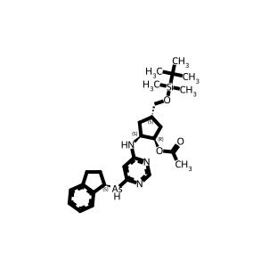 CC(=O)O[C@@H]1C[C@@H](CO[Si](C)(C)C(C)(C)C)C[C@@H]1Nc1cc([AsH][C@H]2CCc3ccccc32)ncn1